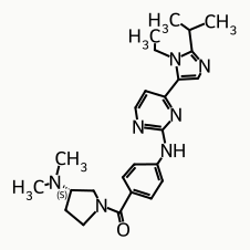 CCn1c(-c2ccnc(Nc3ccc(C(=O)N4CC[C@H](N(C)C)C4)cc3)n2)cnc1C(C)C